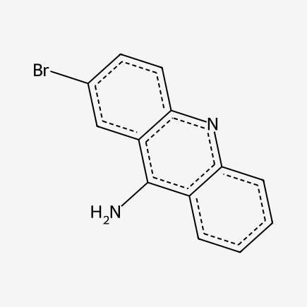 Nc1c2ccccc2nc2ccc(Br)cc12